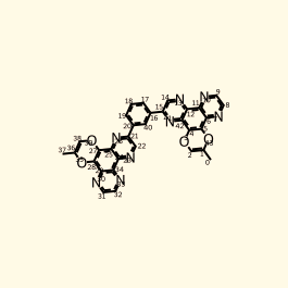 CC1=COc2c(c3nccnc3c3ncc(-c4cccc(-c5cnc6c(n5)c5c(c7nccnc76)OC(C)=CO5)c4)nc23)O1